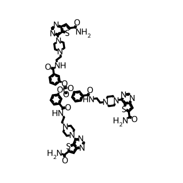 NC(=O)c1cc2ncnc(N3CCN(CCNC(=O)c4cccc(OP(=O)(Oc5cccc(C(=O)NCCN6CCN(c7ncnc8cc(C(N)=O)sc78)CC6)c5)Oc5cccc(C(=O)NCCN6CCN(c7ncnc8cc(C(N)=O)sc78)CC6)c5)c4)CC3)c2s1